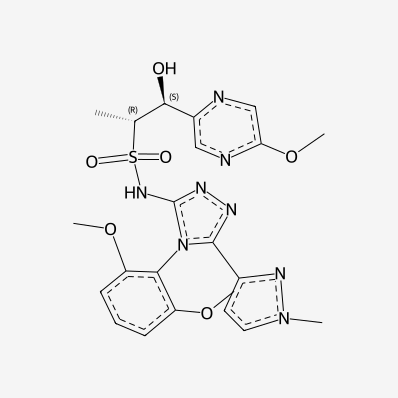 COc1cnc([C@H](O)[C@@H](C)S(=O)(=O)Nc2nnc(-c3ccn(C)n3)n2-c2c(OC)cccc2OC)cn1